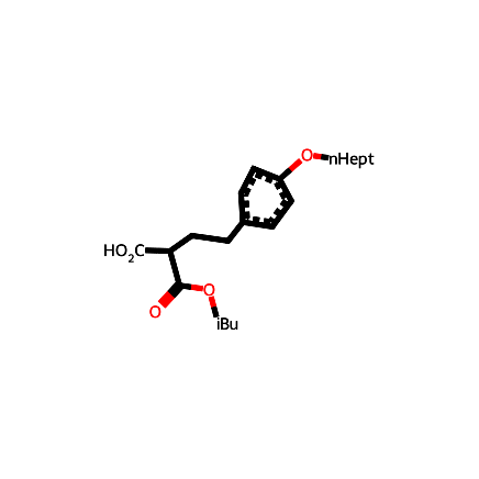 CCCCCCCOc1ccc(CCC(C(=O)O)C(=O)OC(C)CC)cc1